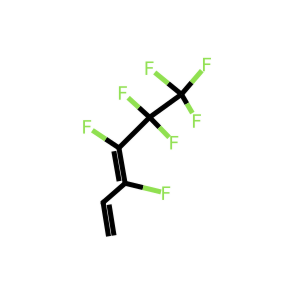 C=CC(F)=C(F)C(F)(F)C(F)(F)F